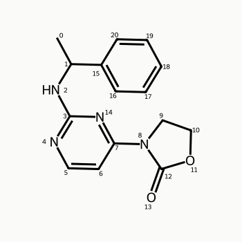 CC(Nc1nccc(N2CCOC2=O)n1)c1ccccc1